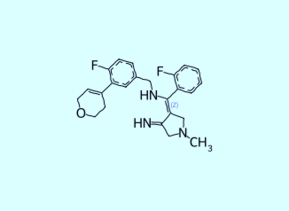 CN1CC(=N)/C(=C(\NCc2ccc(F)c(C3=CCOCC3)c2)c2ccccc2F)C1